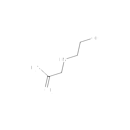 C=C(N)CNCCO